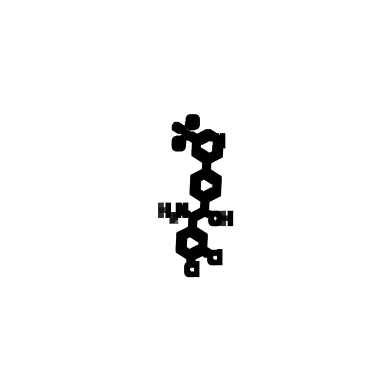 CS(=O)(=O)c1cncc(-c2ccc([C@@H](O)[C@@H](N)c3ccc(Cl)c(Cl)c3)cc2)c1